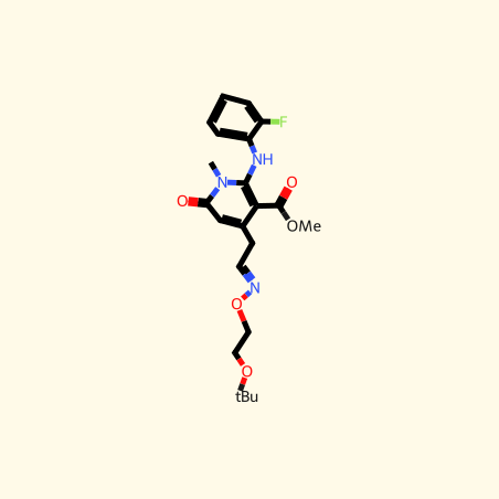 COC(=O)c1c(CC=NOCCOC(C)(C)C)cc(=O)n(C)c1Nc1ccccc1F